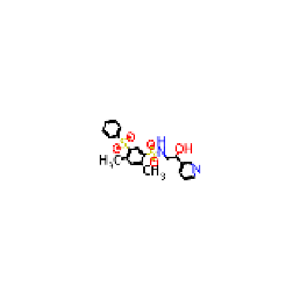 Cc1cc(C)c(S(=O)(=O)c2ccccc2)cc1S(=O)(=O)NCC(O)c1cccnc1